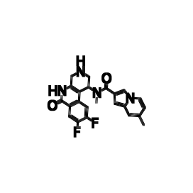 Cc1ccn2cc(C(=O)N(C)C3CNCc4[nH]c(=O)c5cc(F)c(F)cc5c43)cc2c1